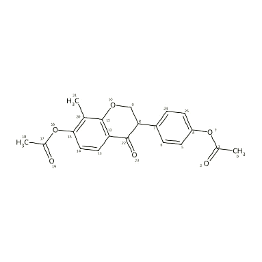 CC(=O)Oc1ccc(C2COc3c(ccc(OC(C)=O)c3C)C2=O)cc1